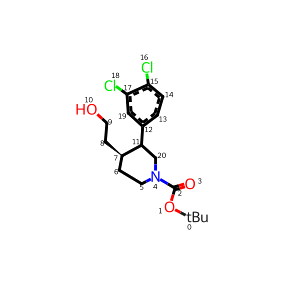 CC(C)(C)OC(=O)N1CC[C@@H](CCO)C(c2ccc(Cl)c(Cl)c2)C1